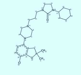 CC1(C)Cc2c(N3CCN(CCCN4CCN(C5CCCCC5)C4=O)CC3)ccc(Cl)c2O1